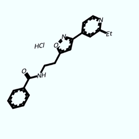 CCc1cc(-c2cc(CCNC(=O)c3ccccc3)on2)ccn1.Cl